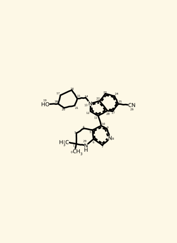 CC1(C)CCc2c(cncc2-c2cn(CC3CCC(O)CC3)c3ccc(C#N)cc23)N1